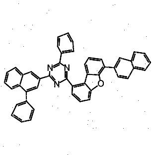 c1ccc(-c2nc(-c3cc(-c4ccccc4)c4ccccc4c3)nc(-c3cccc4oc5c(-c6ccc7ccccc7c6)cccc5c34)n2)cc1